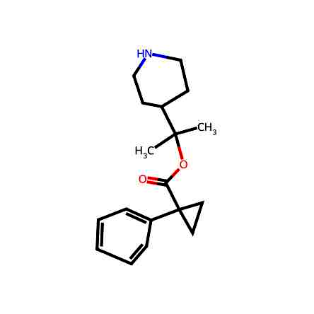 CC(C)(OC(=O)C1(c2ccccc2)CC1)C1CCNCC1